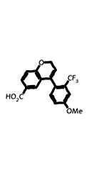 COc1ccc(C2=CCOc3ccc(C(=O)O)cc32)c(C(F)(F)F)c1